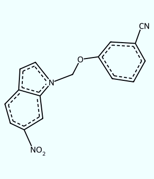 N#Cc1cccc(OCn2ccc3ccc([N+](=O)[O-])cc32)c1